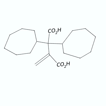 C=C(C(=O)O)C(C(=O)O)(C1CCCCCC1)C1CCCCCC1